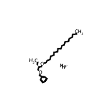 C=CC[C@H](COCCCCCCCCCCCCCCCCCC)COCc1ccccc1.[H-].[Na+]